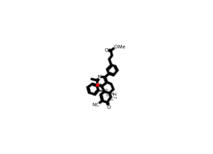 COC(=O)CCc1cccc(-c2nc(C)nc3c2CC[C@H]2[C@H](C)C(=O)C(C#N)=C[C@]32c2ccccc2)c1